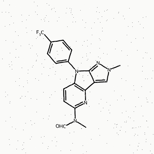 CN(C=O)c1ccc2c(n1)c1cn(C)nc1n2-c1ccc(C(F)(F)F)cc1